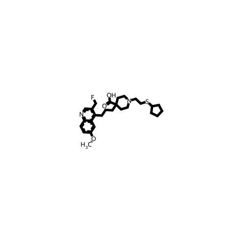 COc1ccc2ncc(CF)c(CCCC3(C(=O)O)CCN(CCSC4CCCC4)CC3)c2c1